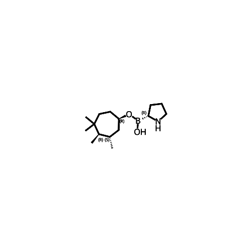 C[C@@H]1[C@@H](C)C[C@H](OB(O)[C@@H]2CCCN2)CCC1(C)C